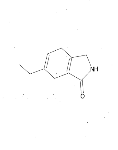 CCC1=CCC2=C(C1)C(=O)NC2